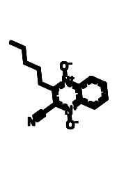 CCCCCc1c(C#N)[n+]([O-])c2ccccc2[n+]1[O-]